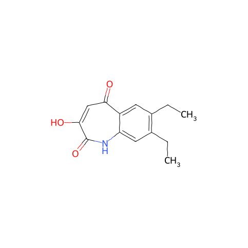 CCc1cc2[nH]c(=O)c(O)cc(=O)c2cc1CC